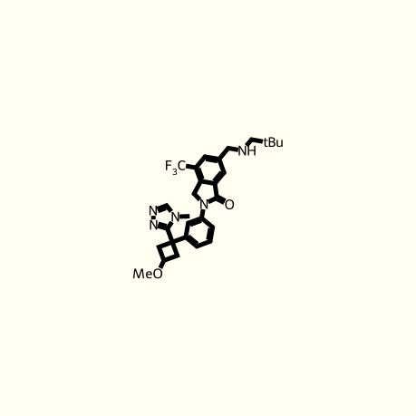 COC1CC(c2cccc(N3Cc4c(cc(CNCC(C)(C)C)cc4C(F)(F)F)C3=O)c2)(c2nncn2C)C1